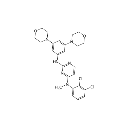 CN(c1ccnc(Nc2cc(N3CCOCC3)cc(N3CCOCC3)c2)n1)c1cccc(Cl)c1Cl